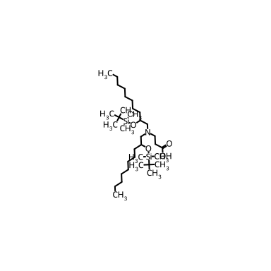 CCCCCCCCC(CN(CCC(=O)O)CC(CCCCCCCC)O[Si](C)(C)C(C)(C)C)O[Si](C)(C)C(C)(C)C